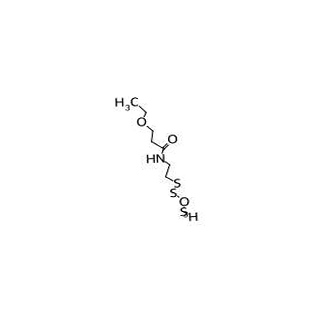 [3H]SOSSCCNC(=O)CCOCC